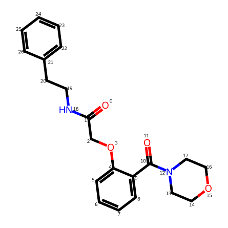 O=C(COc1ccccc1C(=O)N1CCOCC1)NCCc1ccccc1